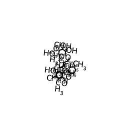 CO[C@H]1[C@H](O)[C@@H](O)[C@H](O[C@H](C[C@@]2(C)[C@H](C)CCC(=O)[C@@H]2C)/C(C)=C/Cc2c(O)c(Cl)c(C)c(C=O)c2O)O[C@@H]1CO